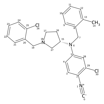 [C-]#[N+]c1ccc(N(Cc2ccccc2C)[C@H]2CCN(Cc3ccccc3Cl)C2)cc1Cl